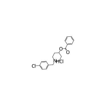 Cl.O=C(OC1CCN(Cc2ccc(Cl)cc2)CC1)c1ccccc1